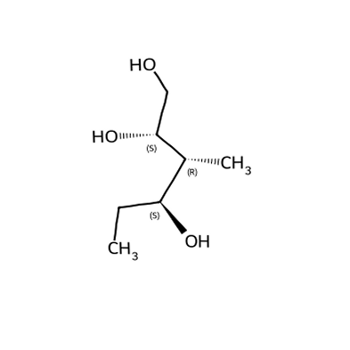 CC[C@H](O)[C@@H](C)[C@H](O)CO